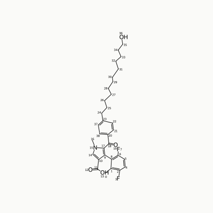 Cc1c(F)ccc(F)c1-c1c(C(=O)O)cn(C)c1C(=O)c1ccc(CCCCCCCCCCCCO)cc1